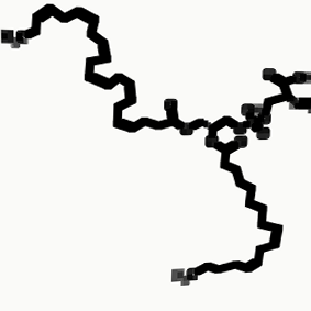 CC/C=C\C/C=C\C/C=C\C/C=C\C/C=C\C/C=C\CCC(=O)OC[C@H](COP(=O)(O)OC[C@H](N)C(=O)O)OC(=O)CCCCCCC/C=C\C/C=C\CCCC